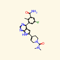 Cc1c(C(N)=O)cc(F)cc1-c1ncnc2[nH]c(C3=CCN(C(=O)N(C)C)CC3)cc12